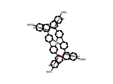 COc1ccc(N(c2ccc(OC)cc2)c2ccc3c(c2)[PH]2(c4cc(N(c5ccc(OC)cc5)c5ccc(OC)cc5)ccc4-3)c3cc(N(c4ccc(OC)cc4)c4ccc(OC)cc4)ccc3-c3ccc(N(c4ccc(OC)cc4)c4ccc(OC)cc4)cc32)cc1